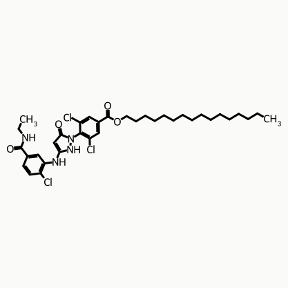 CCCCCCCCCCCCCCCCOC(=O)c1cc(Cl)c(-n2[nH]c(Nc3cc(C(=O)NCC)ccc3Cl)cc2=O)c(Cl)c1